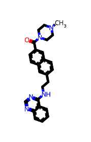 CN1CCN(C(=O)c2ccc3cc(CCNc4ncnc5ccccc45)ccc3c2)CC1